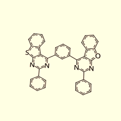 c1ccc(-c2nc(-c3cccc(-c4nc(-c5ccccc5)nc5sc6ccccc6c45)c3)c3c(n2)oc2ccccc23)cc1